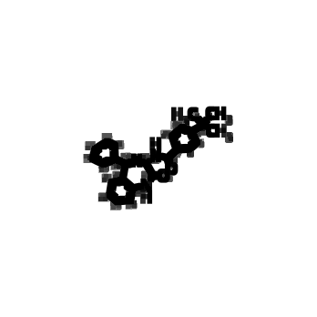 CC(C)(C)c1ccc(C(=O)N[C@H]2N=C(c3ccccc3)c3ccccc3NC2=O)cc1